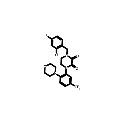 O=C1C(=O)N(c2cc(C(F)(F)F)ccc2N2CCOCC2)CCN1Cc1ccc(F)cc1Cl